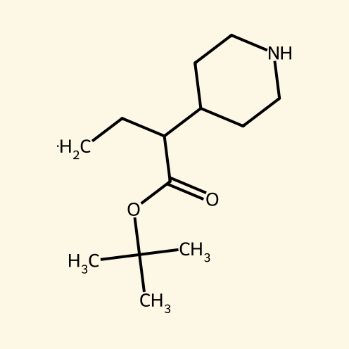 [CH2]CC(C(=O)OC(C)(C)C)C1CCNCC1